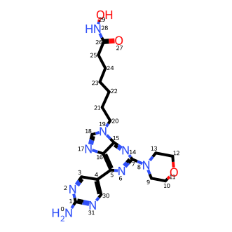 Nc1ncc(-c2nc(N3CCOCC3)nc3c2ncn3CCCCCCC(=O)NO)cn1